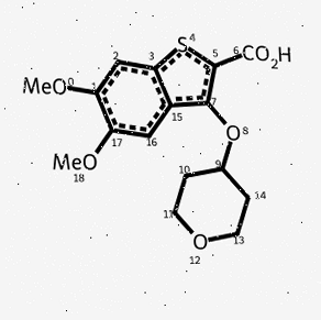 COc1cc2sc(C(=O)O)c(OC3CCOCC3)c2cc1OC